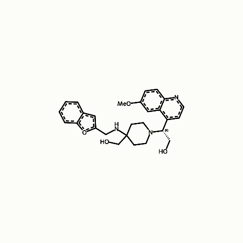 COc1ccc2nccc([C@H](CO)N3CCC(CO)(NCc4cc5ccccc5o4)CC3)c2c1